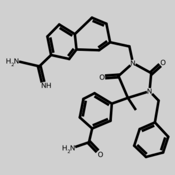 CC1(c2cccc(C(N)=O)c2)C(=O)N(Cc2ccc3ccc(C(=N)N)cc3c2)C(=O)N1Cc1ccccc1